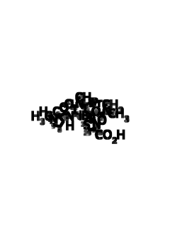 CC[C@H](C)[C@H](NC(=O)[C@@]1(C)CCCN1C)C(=O)N(C)[C@H](C[C@@H](OC(=O)N(C)C)c1nc(C(=O)O)cs1)C(C)C